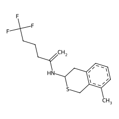 C=C(CCCC(F)(F)F)NC1Cc2cccc(C)c2CS1